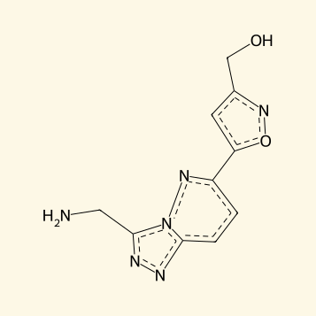 NCc1nnc2ccc(-c3cc(CO)no3)nn12